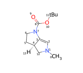 CN1C=C2[C@H](CCN2C(=O)OC(C)(C)C)C1